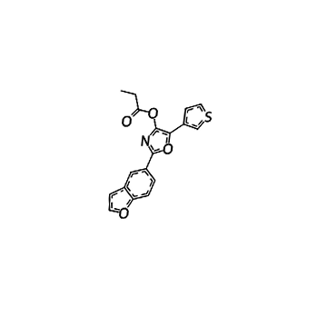 CCC(=O)Oc1nc(-c2ccc3occc3c2)oc1-c1ccsc1